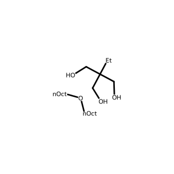 CCC(CO)(CO)CO.CCCCCCCCOCCCCCCCC